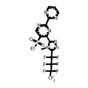 CCS(=O)(=O)c1cnc(-c2ncccn2)nc1-c1nnc(C(F)(F)C(F)(F)C(F)(F)C(F)(F)F)n1C